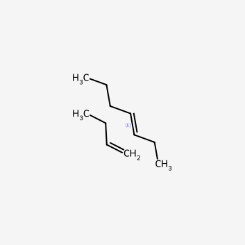 C=CCC.CC/C=C/CCC